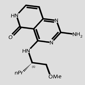 CCC[C@@H](COC)Nc1nc(N)nc2cc[nH]c(=O)c12